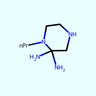 CCCN1CCNCC1(N)N